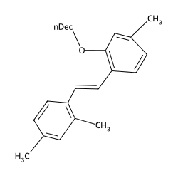 CCCCCCCCCCOc1cc(C)ccc1/C=C/c1ccc(C)cc1C